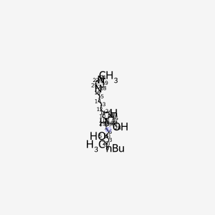 CCCC[C@H](C)C[C@H](O)/C=C/[C@@H]1[C@H]2CC(CCCCCN3CCN(C)CC3)=C[C@H]2C[C@H]1O